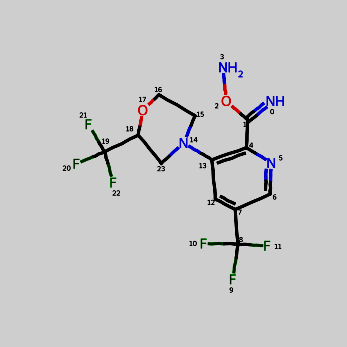 N=C(ON)c1ncc(C(F)(F)F)cc1N1CCOC(C(F)(F)F)C1